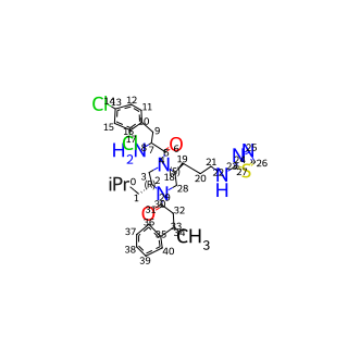 CC(C)C[C@@H]1CN(C(=O)C(N)Cc2ccc(Cl)cc2Cl)[C@@H](CCCNc2nncs2)CN1C(=O)CC(C)c1ccccc1